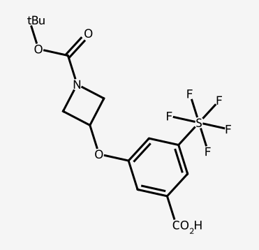 CC(C)(C)OC(=O)N1CC(Oc2cc(C(=O)O)cc(S(F)(F)(F)(F)F)c2)C1